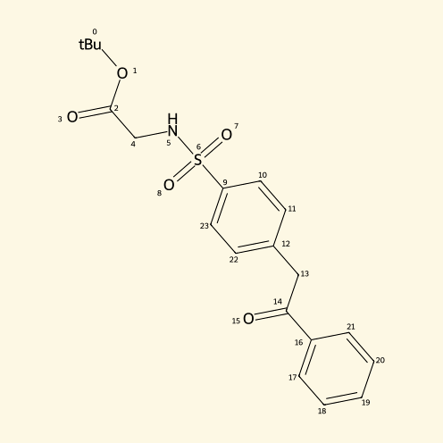 CC(C)(C)OC(=O)CNS(=O)(=O)c1ccc(CC(=O)c2ccccc2)cc1